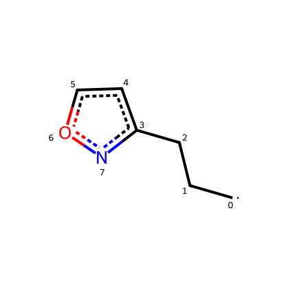 [CH2]CCc1ccon1